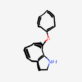 c1ccc(Oc2cccc3c2NCC3)cc1